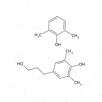 Cc1cc(CCCO)cc(C)c1O.Cc1cccc(C)c1O